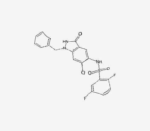 O=c1[nH]n(Cc2ccccc2)c2cc(Cl)c(NS(=O)(=O)c3cc(F)ccc3F)cc12